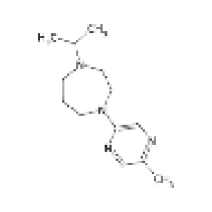 Cc1cnc(N2CCCN(C(C)C)CC2)cn1